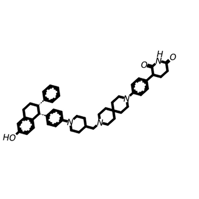 O=C1CCC(c2ccc(N3CCC4(CCN(CC5CCN(c6ccc([C@@H]7c8ccc(O)cc8CC[C@@H]7c7ccccc7)cc6)CC5)CC4)CC3)cc2)C(=O)N1